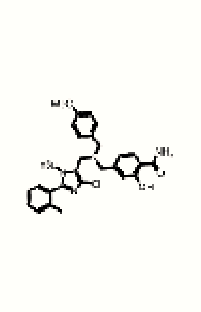 CCCCn1c(-c2ccccc2C)nc(Cl)c1CN(Cc1ccc(OC)cc1)Cc1ccc(C(N)=O)c(O)c1